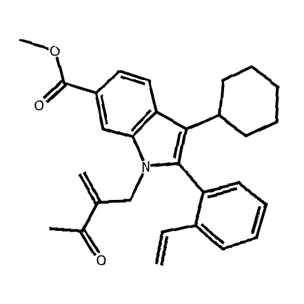 C=Cc1ccccc1-c1c(C2CCCCC2)c2ccc(C(=O)OC)cc2n1CC(=C)C(C)=O